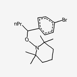 CCCC(ON1C(C)(C)CCCC1(C)C)c1ccc(Br)cc1